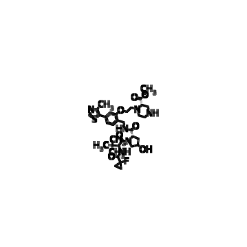 COC(=O)[C@@H]1CNCCN1CCOc1cc(-c2scnc2C)ccc1CNC(=O)[C@@H]1C[C@@H](O)CN1C(=O)[C@@H](NC(=O)C1(F)CC1)C(C)(C)C